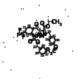 CCOC(=O)c1c(C(=O)c2ccc(C(F)(F)F)cc2NC(=O)OCc2ccccc2)nnn1Cc1ccc(OC)cc1